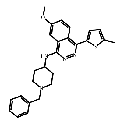 COc1ccc2c(-c3ccc(C)s3)nnc(NC3CCN(Cc4ccccc4)CC3)c2c1